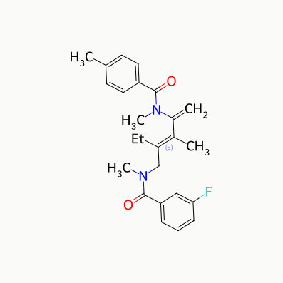 C=C(/C(C)=C(\CC)CN(C)C(=O)c1cccc(F)c1)N(C)C(=O)c1ccc(C)cc1